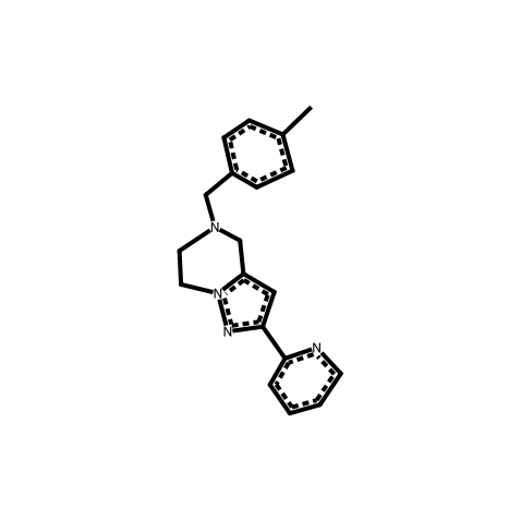 Cc1ccc(CN2CCn3nc(-c4ccccn4)cc3C2)cc1